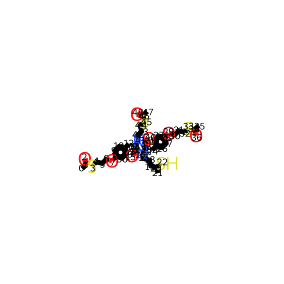 CC(=O)SCCCOc1ccc(C[C@H]2C(=O)N(CCCC(C)S)[C@@H](Cc3ccc(OCCCSC(C)=O)cc3)C(=O)N2CCCSC(C)=O)cc1